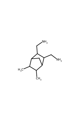 CC1C(C)C2CC1C(CN)C2CN